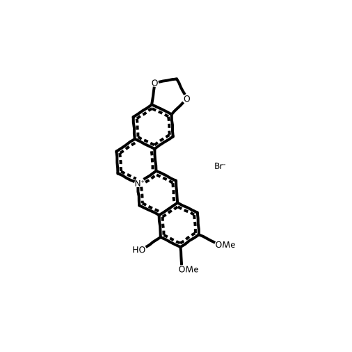 COc1cc2cc3c4cc5c(cc4cc[n+]3cc2c(O)c1OC)OCO5.[Br-]